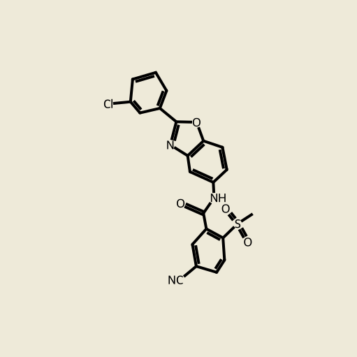 CS(=O)(=O)c1ccc(C#N)cc1C(=O)Nc1ccc2oc(-c3cccc(Cl)c3)nc2c1